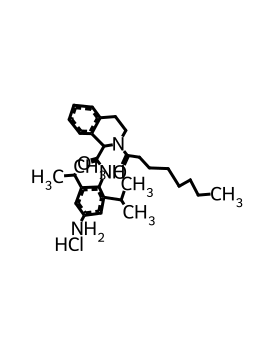 CCCCCCCC(=O)N1CCc2ccccc2C1C(=O)Nc1c(C(C)C)cc(N)cc1C(C)C.Cl